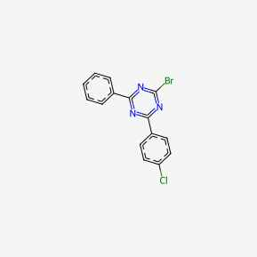 Clc1ccc(-c2nc(Br)nc(-c3ccccc3)n2)cc1